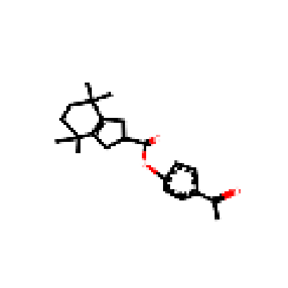 CC(=O)c1ccc(OC(=O)C2CC3=C(C2)C(C)(C)CCC3(C)C)cc1